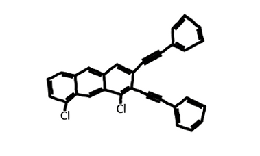 Clc1cccc2cc3cc(C#Cc4ccccc4)c(C#Cc4ccccc4)c(Cl)c3cc12